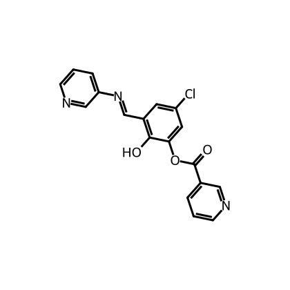 O=C(Oc1cc(Cl)cc(C=Nc2cccnc2)c1O)c1cccnc1